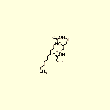 CC(=O)O.CCCCCCCCCCCC(=O)O.OCC(O)CO